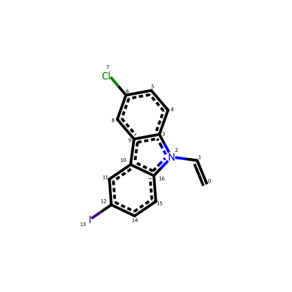 C=Cn1c2ccc(Cl)cc2c2cc(I)ccc21